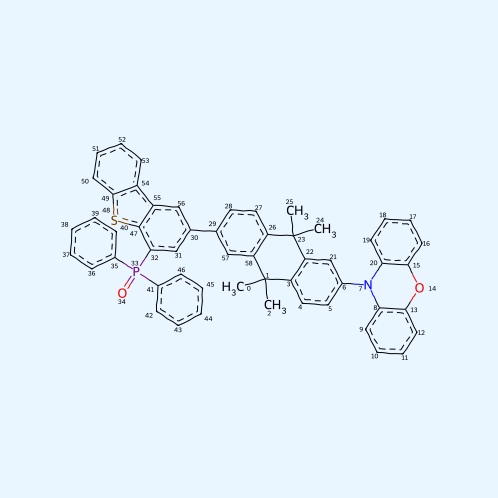 CC1(C)c2ccc(N3c4ccccc4Oc4ccccc43)cc2C(C)(C)c2ccc(-c3cc(P(=O)(c4ccccc4)c4ccccc4)c4sc5ccccc5c4c3)cc21